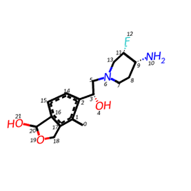 Cc1c([C@@H](O)CN2CC[C@@H](N)[C@@H](F)C2)ccc2c1COC2O